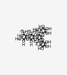 CC(=O)N[C@H]1[C@H](O[C@H]2[C@@H](O)[C@@H](CO)O[C@@H](O[C@@H]([C@H](O)[C@@H](O)C=O)[C@H](O)CO)[C@@H]2O)O[C@H](CO)[C@@H](O[C@@H]2O[C@H](CO)[C@H](O)[C@H](O)[C@H]2O)[C@@H]1O[C@@H]1O[C@@H](C)[C@@H](O)[C@@H](O)[C@@H]1O